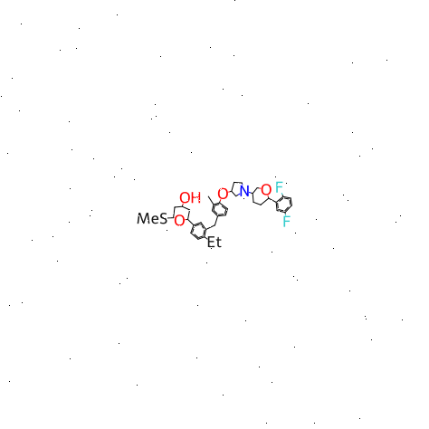 CCc1ccc(C2CC(O)CC(SC)O2)cc1Cc1ccc(OC2CCN(C3CCC(c4cc(F)ccc4F)OC3)C2)c(C)c1